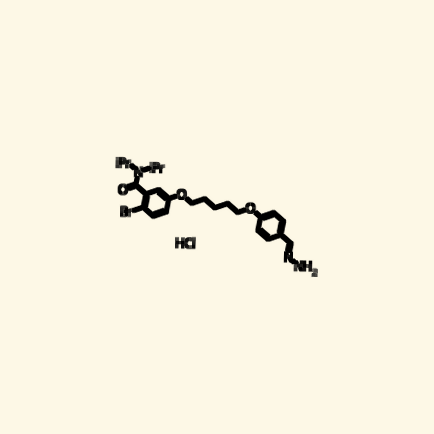 CC(C)N(C(=O)c1cc(OCCCCCOc2ccc(C=NN)cc2)ccc1Br)C(C)C.Cl